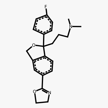 CN(C)CCCC1(c2ccc(F)cc2)OCc2cc(C3=NCCO3)ccc21